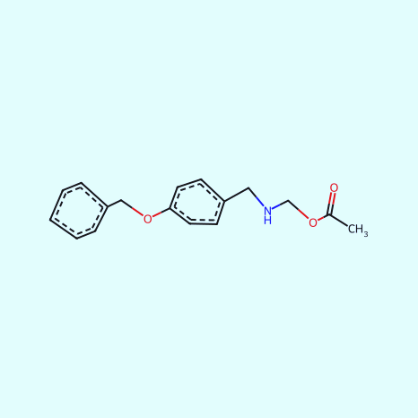 CC(=O)OCNCc1ccc(OCc2ccccc2)cc1